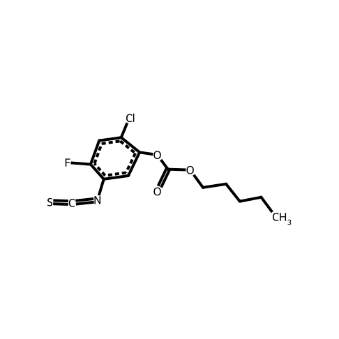 CCCCCOC(=O)Oc1cc(N=C=S)c(F)cc1Cl